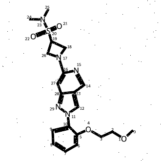 COCCOc1ccccc1-n1cc2cnc(N3CC(S(=O)(=O)N(C)C)C3)cc2n1